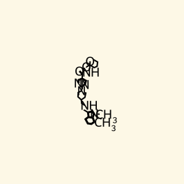 Cc1cccc2c(CNCC3CCN(c4ncc(C(=O)NOC5CCCCO5)cn4)CC3)cn(C)c12